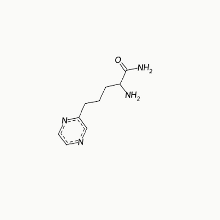 NC(=O)C(N)CCCc1cnccn1